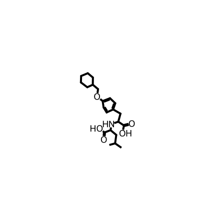 CC(C)CC(NC(Cc1ccc(OCC2CCCCC2)cc1)C(=O)O)C(=O)O